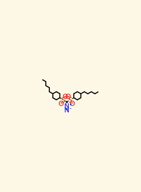 CCCCCC1CCC(S(=O)(=O)C(=[N+]=[N-])S(=O)(=O)C2CCC(CCCCC)CC2)CC1